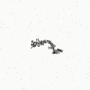 Cc1cn2cc(NC(=O)c3cnc(N4CC(CN5CC(OCC(=O)NCCC6(CCN=[N+]=[N-])NN6C)C5)C4)cn3)cc(F)c2n1